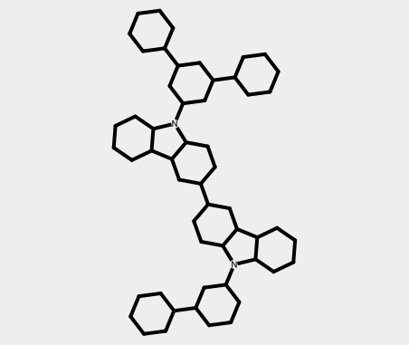 C1CCC(C2CCCC(N3C4CCCCC4C4CC(C5CCC6C(C5)C5CCCCC5N6C5CC(C6CCCCC6)CC(C6CCCCC6)C5)CCC43)C2)CC1